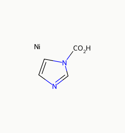 O=C(O)n1ccnc1.[Ni]